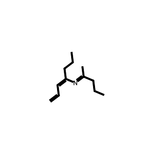 C=C/C=C(CCC)\N=C(/C)CCC